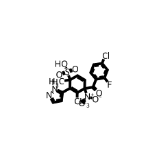 CC1=C(c2ccn[nH]2)C(C)(S(=O)(=O)O)C=CC1(C(=O)c1ccc(Cl)cc1F)[N+](=O)[O-]